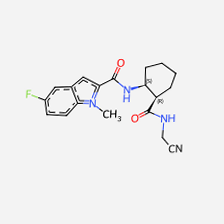 Cn1c(C(=O)N[C@H]2CCCC[C@H]2C(=O)NCC#N)cc2cc(F)ccc21